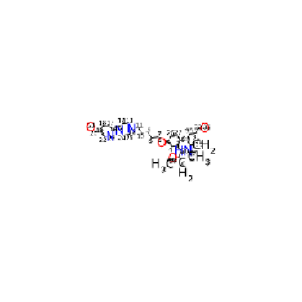 C=C(Cc1cc(OCCCCCN2CCN(c3ccc(C=O)cn3)CC2)ccc1C(CCC=O)C(=C)NC)OC